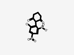 O=C1CCCC(=O)C1c1c(Cl)cc([N+](=O)[O-])cc1[N+](=O)[O-]